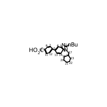 CCCCc1nc2cc(-c3ccc(C(=O)O)cc3)ccc2n1CC1CCCCC1